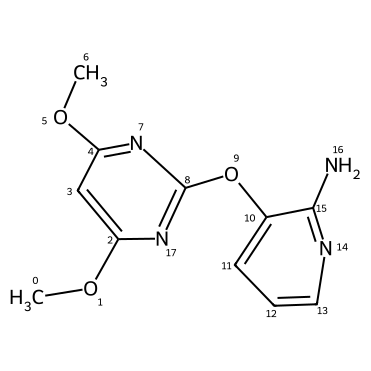 COc1cc(OC)nc(Oc2cccnc2N)n1